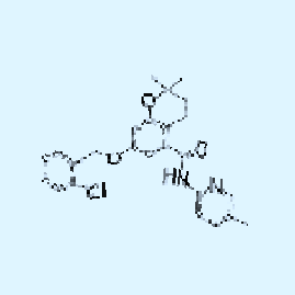 Cc1ccc(NC(=O)c2cc(OCc3ccccc3Cl)cc3c2CCC(C)(C)O3)nc1